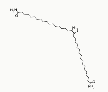 NC(=O)CCCCCCCCCCCCCCCCCN1CCN=C1CCCCCCCCCCCCCCCCC(N)=O